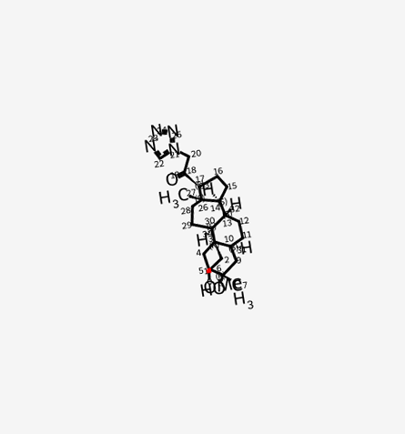 COCC[C@]12CC[C@@](C)(O)C[C@@H]1CC[C@H]1[C@@H]3CC[C@H](C(=O)Cn4cnnn4)[C@@]3(C)CC[C@@H]12